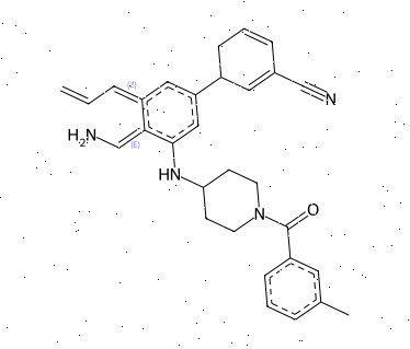 C=C/C=c1/cc(C2C=C(C#N)C=CC2)cc(NC2CCN(C(=O)c3cccc(C)c3)CC2)/c1=C/N